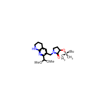 COC(OC)c1nc2c(cc1CN1CCC(O[Si](C)(C)C(C)(C)C)C1=O)CCCN2